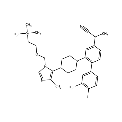 Cc1cc(-c2ccc(C(C)C#N)cc2N2CCC(c3c(C)ncn3COCC[Si](C)(C)C)CC2)ccc1F